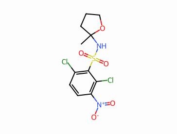 CC1(NS(=O)(=O)c2c(Cl)ccc([N+](=O)[O-])c2Cl)CCCO1